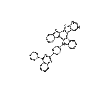 c1ccc(-c2nc(-c3ccc(-n4c5ccccc5c5c6c7cncnc7sc6c6sc7ccccc7c6c54)cc3)nc3ccccc23)cc1